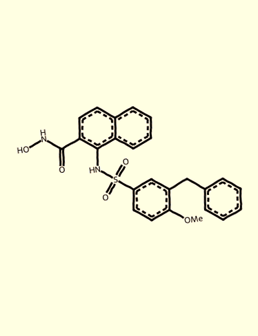 COc1ccc(S(=O)(=O)Nc2c(C(=O)NO)ccc3ccccc23)cc1Cc1ccccc1